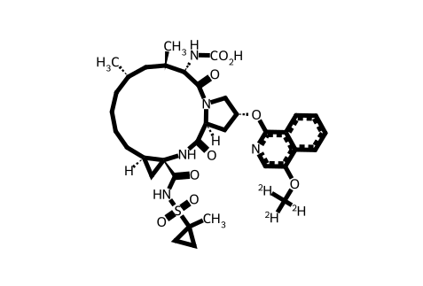 [2H]C([2H])([2H])Oc1cnc(O[C@@H]2C[C@H]3C(=O)N[C@]4(C(=O)NS(=O)(=O)C5(C)CC5)C[C@H]4CCCC[C@H](C)C[C@@H](C)[C@H](NC(=O)O)C(=O)N3C2)c2ccccc12